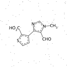 Cn1cnc(-c2ccsc2C(=O)O)c1C=O